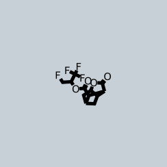 O=C(OC(CF)C(F)(F)F)C1C2CC3OC(=O)C1C3C2